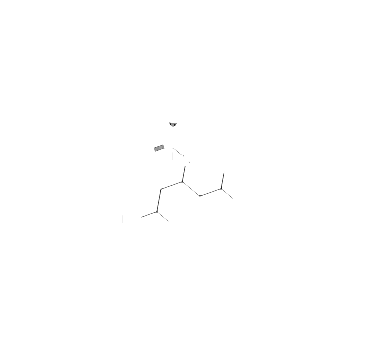 CC(C)CC(CC(C)C)N[SH](=O)=O